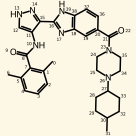 Cc1cccc(C)c1C(=O)Nc1c[nH]nc1-c1nc2cc(C(=O)N3CCN(C4CCC(C)CC4)CC3)ccc2[nH]1